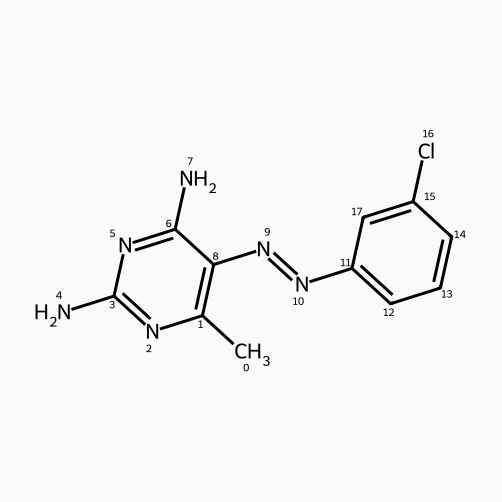 Cc1nc(N)nc(N)c1N=Nc1cccc(Cl)c1